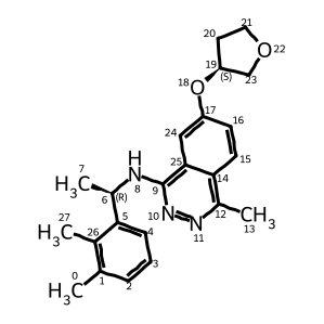 Cc1cccc([C@@H](C)Nc2nnc(C)c3ccc(O[C@H]4CCOC4)cc23)c1C